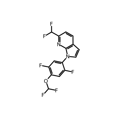 Fc1cc(-n2ccc3ccc(C(F)F)nc32)c(F)cc1OC(F)F